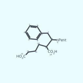 CCCCCC(Cc1ccccc1)C(CCCC(=O)O)C(=O)O